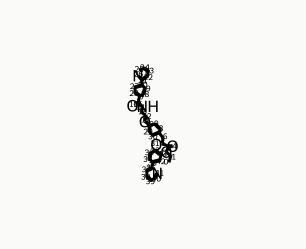 CCOC(=O)C(Cc1ccc(OCCNC(=O)c2ccc(-c3ccccn3)cc2)cc1)Oc1ccc(-c2ccccn2)cc1